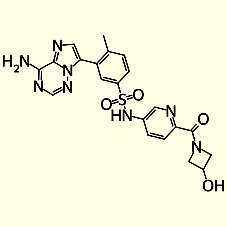 Cc1ccc(S(=O)(=O)Nc2ccc(C(=O)N3CC(O)C3)nc2)cc1-c1cnc2c(N)ncnn12